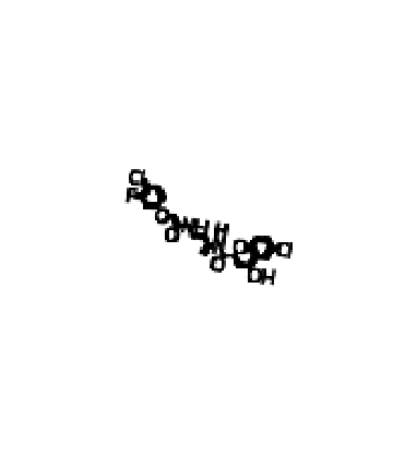 C=C(CCNC(=O)COc1ccc(Cl)c(F)c1)NC(=O)[C@@H]1C[C@H](O)c2cc(Cl)ccc2O1